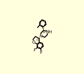 Cc1ccccc1[C@@H]1CN([C@H]2CCOc3c2ccc(F)c3F)CCN1